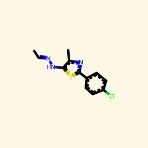 CC=NNc1sc(-c2ccc(Cl)cc2)nc1C